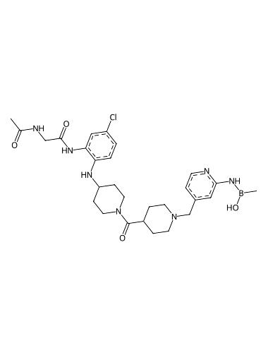 CB(O)Nc1cc(CN2CCC(C(=O)N3CCC(Nc4ccc(Cl)cc4NC(=O)CNC(C)=O)CC3)CC2)ccn1